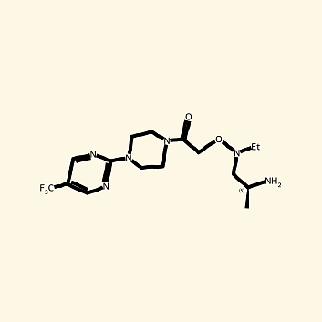 CCN(C[C@H](C)N)OCC(=O)N1CCN(c2ncc(C(F)(F)F)cn2)CC1